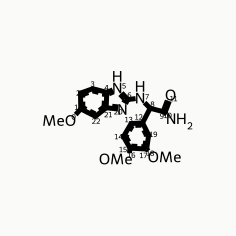 COc1ccc2[nH]c(NC(C(N)=O)c3ccc(OC)c(OC)c3)nc2c1